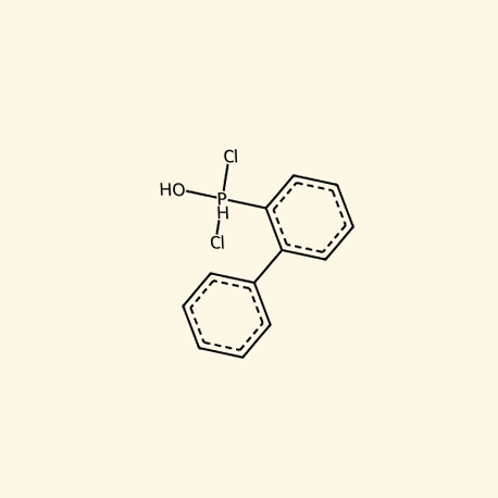 O[PH](Cl)(Cl)c1ccccc1-c1ccccc1